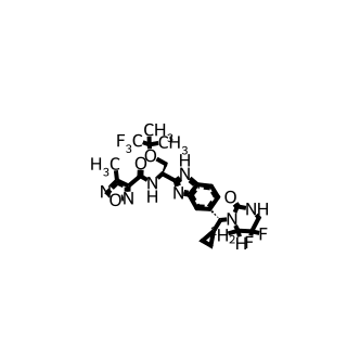 [2H]C1([2H])N([C@@H](c2ccc3[nH]c([C@H](COC(C)(C)C(F)(F)F)NC(=O)c4nonc4C)nc3c2)C2CC2)C(=O)NCC1(F)F